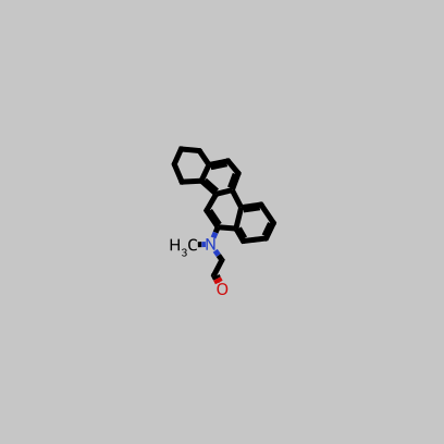 CN(CC=O)c1cc2c3c(ccc2c2ccccc12)CCCC3